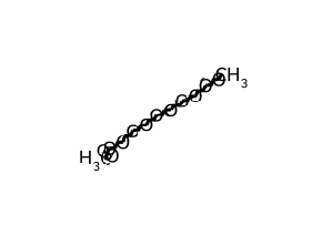 COCCOCCOCCOCCOCCOCCOCCOCCOCCOS(C)(=O)=O